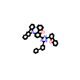 c1ccc(-c2cccc(-c3nc(-c4cccc5c4oc4ccccc45)nc(-c4ccc(-n5c6ccccc6c6cc7ccccc7cc65)c5c4oc4ccccc45)n3)c2)cc1